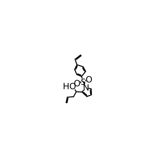 C=CCC(O)c1cccn1S(=O)(=O)c1ccc(C=C)cc1